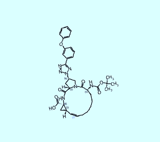 CC(C)(C)OC(=O)N[C@H]1CCCCC/C=C\[C@@H]2C[C@@]2(C(=O)O)NC(=O)[C@@H]2C[C@@H](n3nnc(-c4cccc(Oc5ccccc5)c4)n3)CN2C1=O